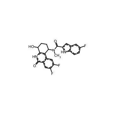 CN(C(=O)c1cc2cc(F)ccc2[nH]1)C1CCC(O)c2[nH]c(=O)c3cc(F)c(F)cc3c21